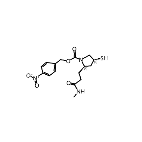 CNC(=O)CC[C@@H]1C[C@H](S)CN1C(=O)OCc1ccc([N+](=O)[O-])cc1